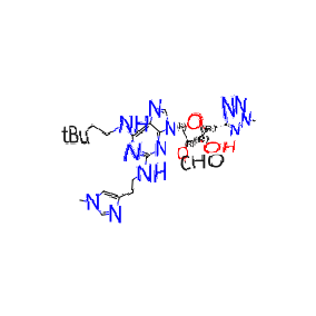 Cn1cnc(CCNc2nc(NCCC(C)(C)C)c3ncn([C@@H]4O[C@H](c5nnn(C)n5)[C@@H](O)[C@H]4OC=O)c3n2)c1